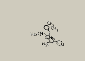 Cc1c(Cc2c(CN3CC(O)C3)nc3c(C)cc(N4CCOCC4)nn23)cccc1C(F)(F)F